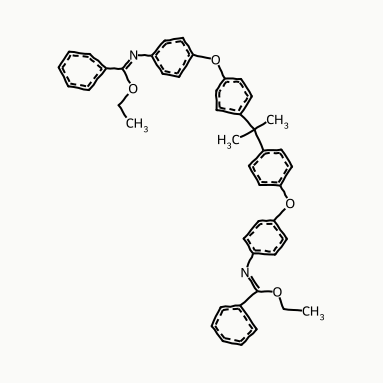 CCO/C(=N\c1ccc(Oc2ccc(C(C)(C)c3ccc(Oc4ccc(/N=C(\OCC)c5ccccc5)cc4)cc3)cc2)cc1)c1ccccc1